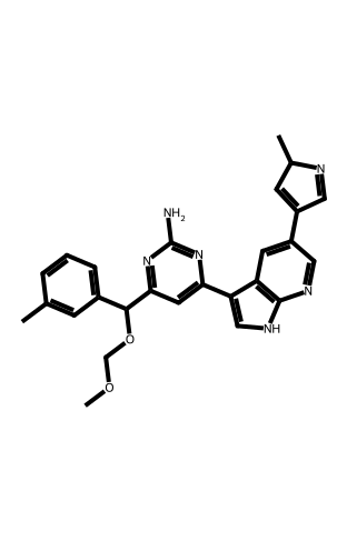 COCOC(c1cccc(C)c1)c1cc(-c2c[nH]c3ncc(C4=CC(C)N=C4)cc23)nc(N)n1